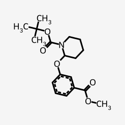 COC(=O)c1cccc(OC2CCCCN2C(=O)OC(C)(C)C)c1